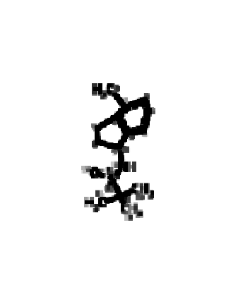 Cc1cccc2c1CC[C@@H]2N[S@@+]([O-])C(C)(C)C